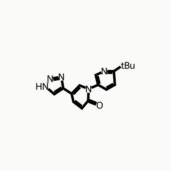 CC(C)(C)c1ccc(-n2cc(-c3c[nH]nn3)ccc2=O)cn1